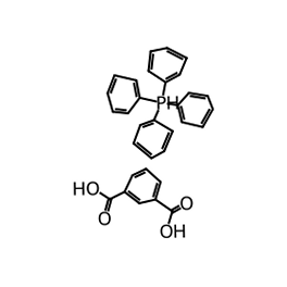 O=C(O)c1cccc(C(=O)O)c1.c1ccc([PH](c2ccccc2)(c2ccccc2)c2ccccc2)cc1